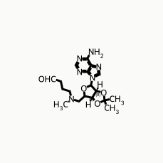 CN(CCCC=O)CC1OC(n2cnc3c(N)ncnc32)[C@@H]2OC(C)(C)O[C@H]12